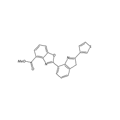 COC(=O)c1cccc2oc(-c3cccc4c3N=C(c3ccsc3)C4)nc12